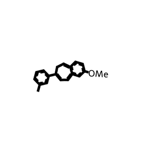 COc1ccc2c(c1)=CC=C(c1cccc(C)c1)CC=2